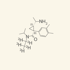 [2H]C([2H])([2H])C([2H])([2H])N(C(=O)[C@]1(c2ccc(C)c(C)c2)C[C@@H]1C(C)N)C(C)C